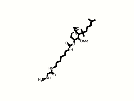 BNCC(=O)NCCCCCCNC(=O)OC1CC[C@]2(CO2)C(C(C)(C)CCC=C(C)C)C1OC